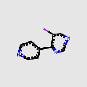 Ic1cncnc1-c1ccncc1